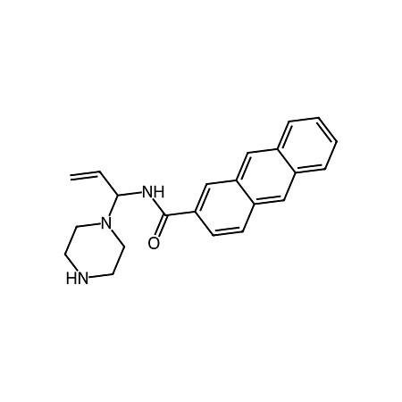 C=CC(NC(=O)c1ccc2cc3ccccc3cc2c1)N1CCNCC1